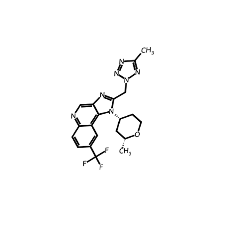 Cc1nnn(Cc2nc3cnc4ccc(C(F)(F)F)cc4c3n2[C@@H]2CCO[C@H](C)C2)n1